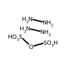 NN.NN.O=S(=O)(O)OS(=O)(=O)O